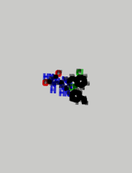 C=Cc1ccc(Nc2nc(Cc3c(Cl)cccc3Cl)nc(-n3[nH]c(=O)[nH]c3=O)n2)cc1